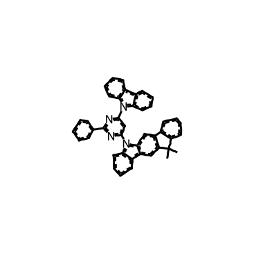 CC1(C)c2ccccc2-c2cc3c(cc21)c1ccccc1n3-c1cc(-n2c3ccccc3c3ccccc32)nc(-c2ccccc2)n1